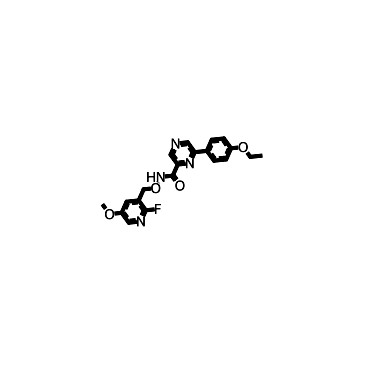 CCOc1ccc(-c2cncc(C(=O)NOCc3cc(OC)cnc3F)n2)cc1